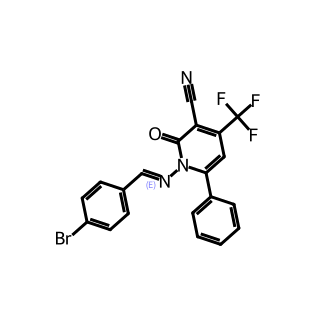 N#Cc1c(C(F)(F)F)cc(-c2ccccc2)n(/N=C/c2ccc(Br)cc2)c1=O